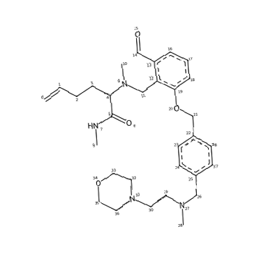 C=CCCC(C(=O)NC)N(C)Cc1c(C=O)cccc1OCc1ccc(CN(C)CCN2CCOCC2)cc1